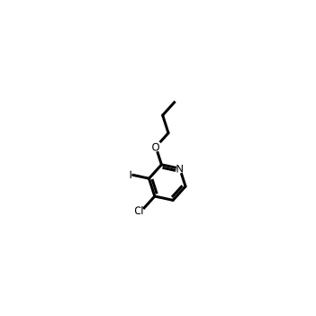 CCCOc1nccc(Cl)c1I